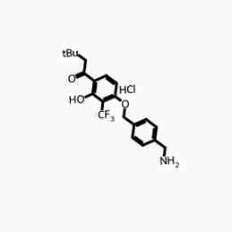 CC(C)(C)CC(=O)c1ccc(OCc2ccc(CN)cc2)c(C(F)(F)F)c1O.Cl